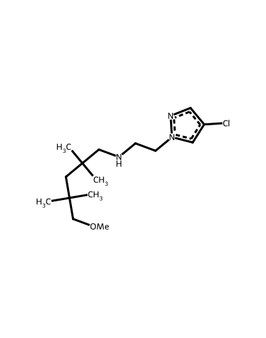 COCC(C)(C)CC(C)(C)CNCCn1cc(Cl)cn1